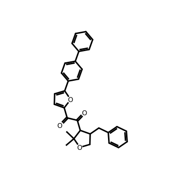 CC1(C)OCC(Cc2ccccc2)C1C(=O)C(=O)c1ccc(-c2ccc(-c3ccccc3)cc2)o1